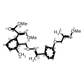 CO/N=C(\C)COc1cccc(/C(C)=N/OCc2c(C)cccc2/C(=N\OC)C(=O)OC)c1